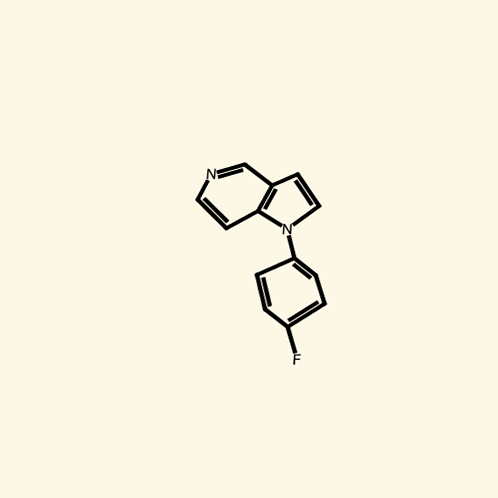 Fc1ccc(-n2ccc3cnccc32)cc1